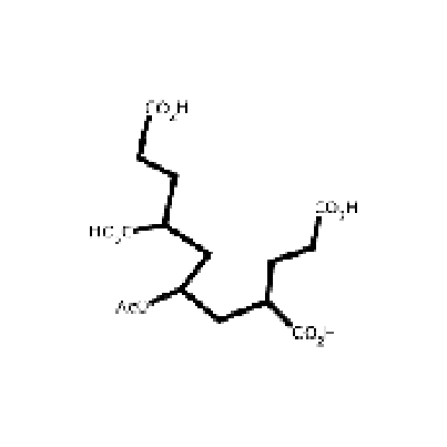 CC(=O)OC(CC(CCC(=O)O)C(=O)O)CC(CCC(=O)O)C(=O)O